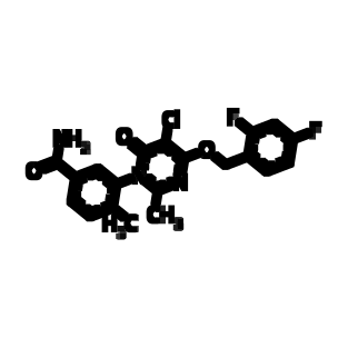 Cc1ccc(C(N)=O)cc1-n1c(C)nc(OCc2ccc(F)cc2F)c(Cl)c1=O